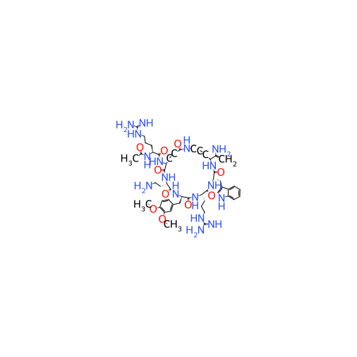 C=C(N)C1CCCNC(=O)CC[C@H](NC(=O)[C@H](CCCNC(=N)N)NC(C)=O)C(=O)N[C@@H](CCN)C(=O)N[C@H](Cc2ccc(OC)c(OC)c2)C(=O)N[C@@H](CCCNC(=N)N)C(=O)N[C@@H](Cc2c[nH]c3ccccc23)C(=O)N1